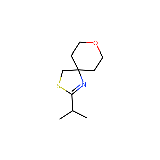 CC(C)C1=NC2(CCOCC2)CS1